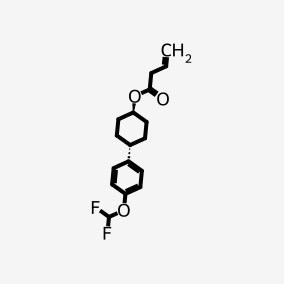 C=CCC(=O)O[C@H]1CC[C@H](c2ccc(OC(F)F)cc2)CC1